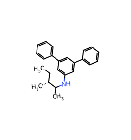 CC[C@@H](C)C(C)Nc1cc(-c2ccccc2)cc(-c2ccccc2)c1